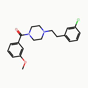 COc1cccc(C(=O)N2CCN(CCc3cccc(Cl)c3)CC2)c1